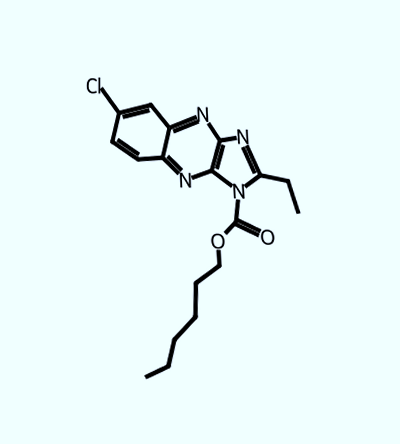 CCCCCCOC(=O)n1c(CC)nc2nc3cc(Cl)ccc3nc21